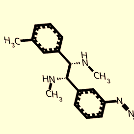 CN[C@@H](c1cccc(C)c1)[C@@H](NC)c1cccc(N=[N+]=[N-])c1